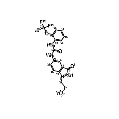 CCCn1[nH]c(=O)c2cc(NC(=O)Nc3ccccc3OC(F)(F)F)ccc21